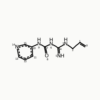 C=CCNC(=N)NC(=O)Nc1cccnc1